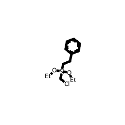 CCO[Si](CCl)(CCc1ccccc1)OCC